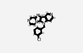 Clc1cccc(Cn2c3ccncc3c3nc4cnccn4c32)c1